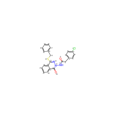 O=C(Cc1ccc(Cl)cc1)Nn1nc(SCc2ccccc2)c2ccccc2c1=O